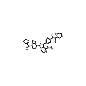 Nc1nccn2c(C3CCN(C(=O)C4CCCO4)C4CCC34)nc(-c3ccc(C(=O)Nc4ccccn4)cc3)c12